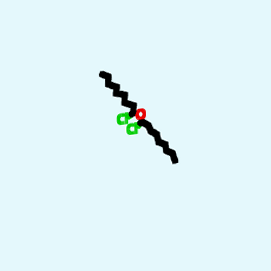 CCCCCCCCC(Cl)OC(Cl)CCCCCCCC